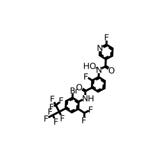 O=C(Nc1c(Br)cc(C(F)(C(F)(F)F)C(F)(F)F)cc1C(F)F)c1cccc(N(O)C(=O)c2ccc(F)nc2)c1F